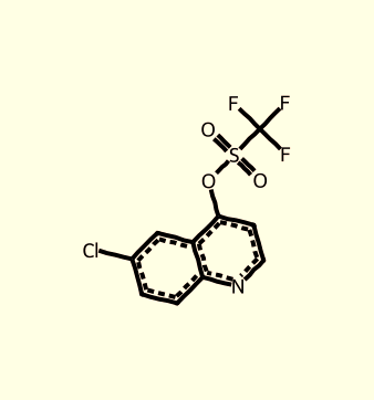 O=S(=O)(Oc1ccnc2ccc(Cl)cc12)C(F)(F)F